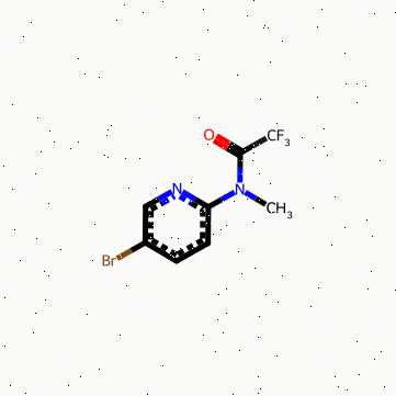 CN(C(=O)C(F)(F)F)c1ccc(Br)cn1